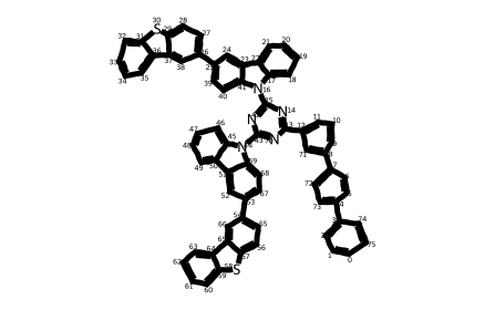 c1ccc(-c2ccc(-c3cccc(-c4nc(-n5c6ccccc6c6cc(-c7ccc8sc9ccccc9c8c7)ccc65)nc(-n5c6ccccc6c6cc(-c7ccc8sc9ccccc9c8c7)ccc65)n4)c3)cc2)cc1